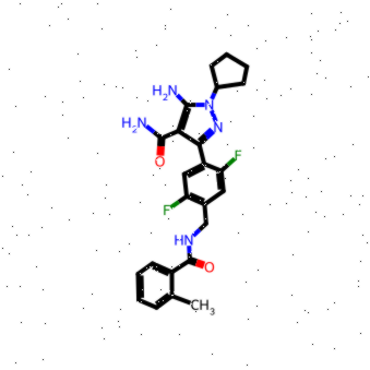 Cc1ccccc1C(=O)NCc1cc(F)c(-c2nn(C3CCCC3)c(N)c2C(N)=O)cc1F